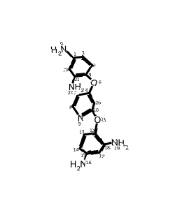 Nc1ccc(Oc2ccnc(Oc3ccc(N)cc3N)c2)c(N)c1